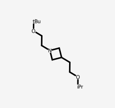 CC(C)OCCC1CN(CCOC(C)(C)C)C1